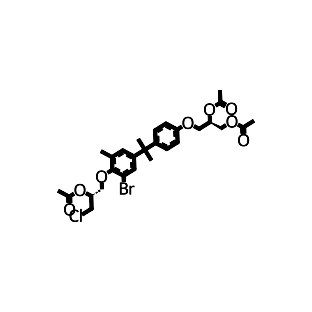 CC(=O)OC[C@@H](COc1ccc(C(C)(C)c2cc(C)c(OC[C@H](CCl)OC(C)=O)c(Br)c2)cc1)OC(C)=O